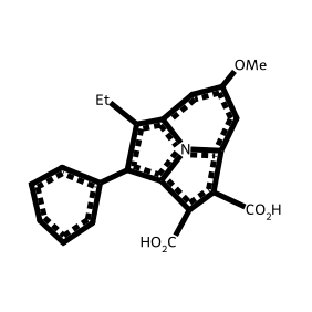 CCc1c(-c2ccccc2)c2c(C(=O)O)c(C(=O)O)c3cc(OC)cc1n32